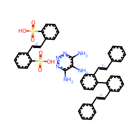 C(=C\c1ccccc1-c1ccccc1/C=C/c1ccccc1)/c1ccccc1.Nc1nnnc(N)c1N.O=S(=O)(O)c1ccccc1/C=C/c1ccccc1S(=O)(=O)O